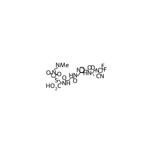 CNCCN1C(=O)CC(SCC(NC(=O)CCC(=O)NCc2cc(C(=O)N[C@H](C)C(=O)N3CC(F)(F)C[C@H]3C#N)ccn2)C(=O)O)C1=O